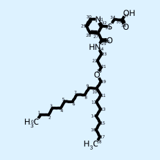 CCCCCCCCCCC(CCCCCCCC)COCCCNC(=O)c1cccnc1SCC(=O)O